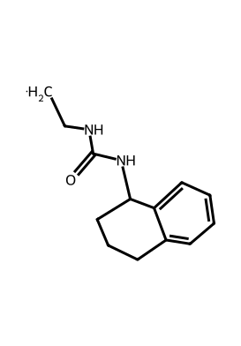 [CH2]CNC(=O)NC1CCCc2ccccc21